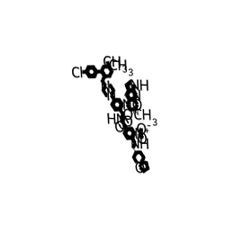 C[C@@H]1CN(c2cc(N3CCN(CC4=C(c5ccc(Cl)cc5)CC(C)(C)CC4)CC3)ccc2C(=O)NS(=O)(=O)c2ccc(NC[C@H]3CC[C@]4(CCCO4)CC3)c([N+](=O)[O-])c2)c2cc3cc[nH]c3nc2O1